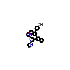 N#Cc1ccc(-c2cc(-c3cc4ccccc4cc3-c3cc(-c4ccccn4)nc(-c4ccccn4)c3)cc3ccccc23)cc1